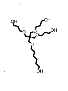 OCCCCCCOCC(COCCCO)(COCCCO)COCCCO